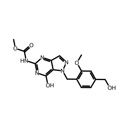 COC(=O)Nc1nc(O)c2c(cnn2Cc2ccc(CO)cc2OC)n1